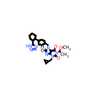 COC(C)n1c(=O)c2c(nc(C)n2Cc2ccc(-c3ccccc3-c3nnn[nH]3)cc2)n(CC2CC2)c1=O